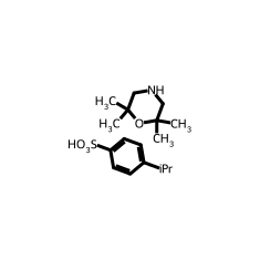 CC(C)c1ccc(S(=O)(=O)O)cc1.CC1(C)CNCC(C)(C)O1